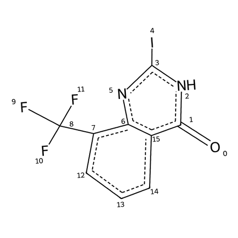 O=c1[nH]c(I)nc2c(C(F)(F)F)cccc12